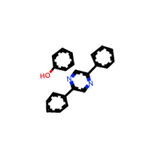 Oc1ccccc1.c1ccc(-c2cnc(-c3ccccc3)cn2)cc1